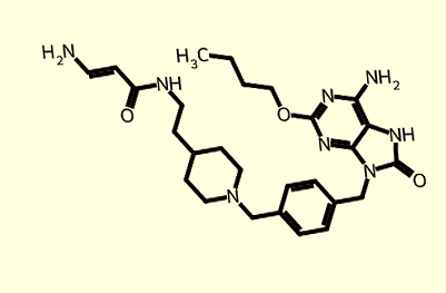 CCCCOc1nc(N)c2[nH]c(=O)n(Cc3ccc(CN4CCC(CCNC(=O)C=CN)CC4)cc3)c2n1